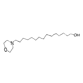 OCCCCCCCCCCCCCCCN1CCOCC1